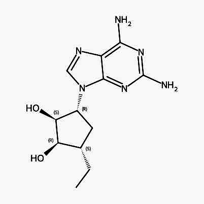 CC[C@H]1C[C@@H](n2cnc3c(N)nc(N)nc32)[C@H](O)[C@@H]1O